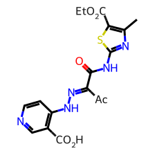 CCOC(=O)c1sc(NC(=O)/C(=N/Nc2ccncc2C(=O)O)C(C)=O)nc1C